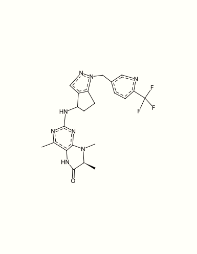 Cc1nc(NC2CCc3c2cnn3Cc2ccc(C(F)(F)F)nc2)nc2c1NC(=O)[C@H](C)N2C